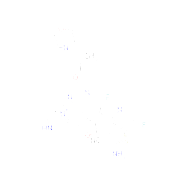 CC(COc1nc(N2C3CCC2CNC3)c2c3c(c(-c4ncc(F)c5sc(N)c(C#N)c45)c(F)c2n1)COC3)CN1CCOCC1